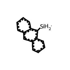 [SiH2]c1c2ccccc2cc2ccccc12